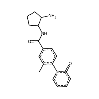 Cc1cc(C(=O)NC2CCCC2N)ccc1-n1ccccc1=O